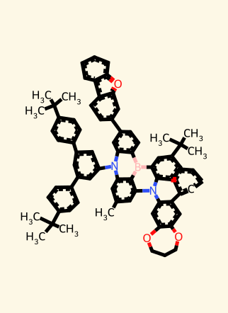 Cc1cc2c3c(c1)N(c1cc4c(cc1-c1ccccc1)OCCCO4)c1ccc(C(C)(C)C)cc1B3c1ccc(-c3ccc4c(c3)oc3ccccc34)cc1N2c1cc(-c2ccc(C(C)(C)C)cc2)cc(-c2ccc(C(C)(C)C)cc2)c1